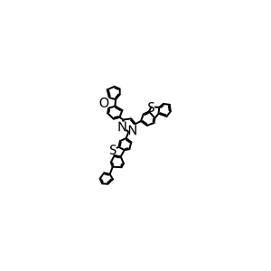 c1ccc(-c2ccc3c(c2)sc2cc(-c4nc(-c5ccc6c(c5)sc5ccccc56)cc(-c5ccc6oc7ccccc7c6c5)n4)ccc23)cc1